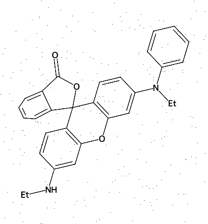 CCNc1ccc2c(c1)Oc1cc(N(CC)c3ccccc3)ccc1C21OC(=O)c2ccccc21